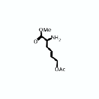 COC(=O)C(N)C/C=C/COC(C)=O